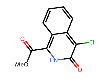 COC(=O)c1[nH]c(=O)c(Cl)c2ccccc12